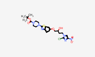 CC(C)(C)OC(=O)N1CCN(c2nc3ccc(OCC(O)CCn4cc([N+](=O)[O-])nc4Cl)cc3s2)CC1